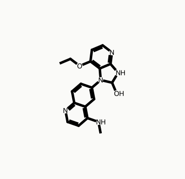 CCOc1ccnc2c1N(c1ccc3nccc(NC)c3c1)C(O)N2